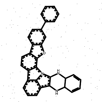 C1=CC2Nc3c(n4c5c3cccc5c3ccc5c6ccc(-c7ccccc7)cc6oc5c34)NC2C=C1